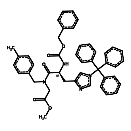 COC(=O)CN(Cc1ccc(C)cc1)C(=O)[C@H](Cc1cn(C(c2ccccc2)(c2ccccc2)c2ccccc2)cn1)NC(=O)OCc1ccccc1